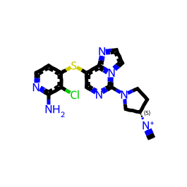 C#[N+][C@H]1CCN(c2ncc(Sc3ccnc(N)c3Cl)c3nccn23)C1